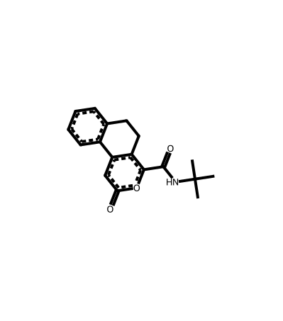 CC(C)(C)NC(=O)c1oc(=O)cc2c1CCc1ccccc1-2